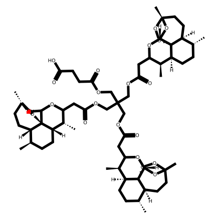 C[C@@H]1CC[C@H]2[C@@H](C)C(CC(=O)OCC(COC(=O)CCC(=O)O)(COC(=O)CC3O[C@@H]4O[C@@]5(C)CC[C@H]6[C@H](C)CC[C@@H]([C@H]3C)[C@@]46OO5)COC(=O)CC3O[C@@H]4O[C@@]5(C)CC[C@H]6[C@H](C)CC[C@@H]([C@H]3C)[C@@]46OO5)O[C@@H]3OC4(C)CC[C@@H]1[C@]32OO4